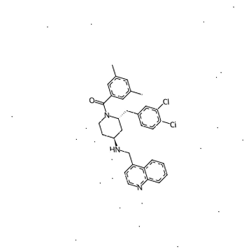 Cc1cc(C)cc(C(=O)N2CC[C@H](NCc3ccnc4ccccc34)C[C@H]2Cc2ccc(Cl)c(Cl)c2)c1